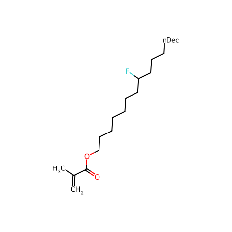 C=C(C)C(=O)OCCCCCCCC(F)CCCCCCCCCCCCC